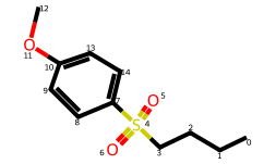 CCCCS(=O)(=O)c1ccc(OC)cc1